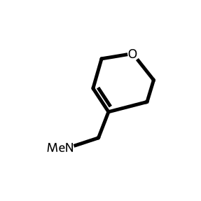 CNCC1=CCOCC1